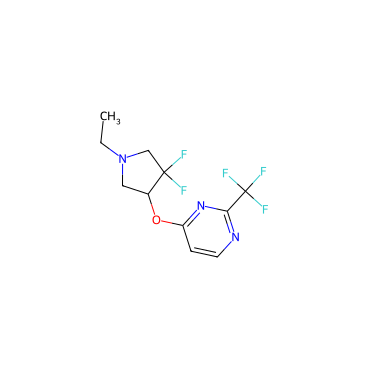 CCN1CC(Oc2ccnc(C(F)(F)F)n2)C(F)(F)C1